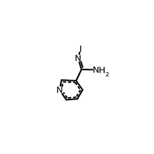 N/C(=N\I)c1cccnc1